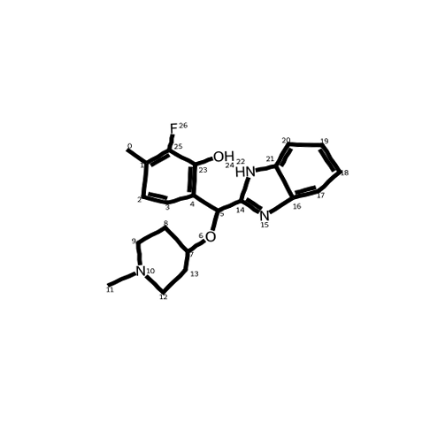 Cc1ccc(C(OC2CCN(C)CC2)c2nc3ccccc3[nH]2)c(O)c1F